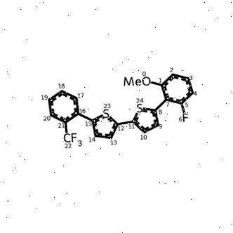 COc1cccc(F)c1-c1ccc(-c2ccc(-c3ccccc3C(F)(F)F)s2)s1